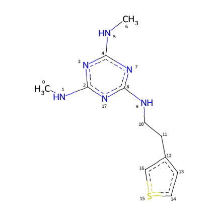 CNc1nc(NC)nc(NCCc2ccsc2)n1